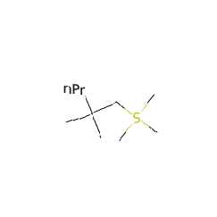 CCCC(C)(C)CS(C)(C)C